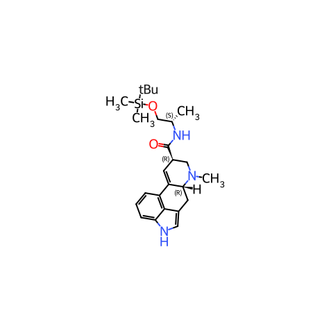 C[C@@H](CO[Si](C)(C)C(C)(C)C)NC(=O)[C@@H]1C=C2c3cccc4[nH]cc(c34)C[C@H]2N(C)C1